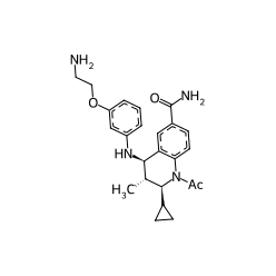 CC(=O)N1c2ccc(C(N)=O)cc2[C@H](Nc2cccc(OCCN)c2)[C@@H](C)[C@@H]1C1CC1